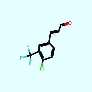 O=C/C=C/c1ccc(Cl)c(C(F)(F)F)c1